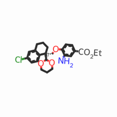 CCOC(=O)c1ccc(OC[C@@]2(C3OCCCO3)CCCc3cc(Cl)ccc32)c(N)c1